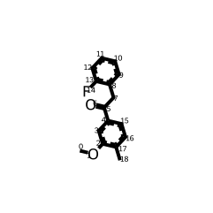 COc1cc(C(=O)Cc2ccccc2F)ccc1C